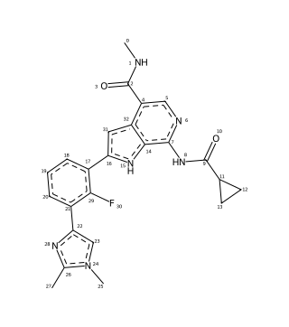 CNC(=O)c1cnc(NC(=O)C2CC2)c2[nH]c(-c3cccc(-c4cn(C)c(C)n4)c3F)cc12